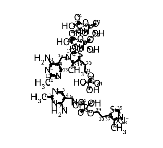 Cc1ncc(CO)c(N)n1.Cc1ncc(C[n+]2csc(CCOP(=O)(O)O)c2C)c(N)n1.Cc1ncsc1CCOP(=O)(O)O.O=P(O)(O)OP(=O)(O)O.O=P(O)(O)OP(=O)(O)O.[Cl-]